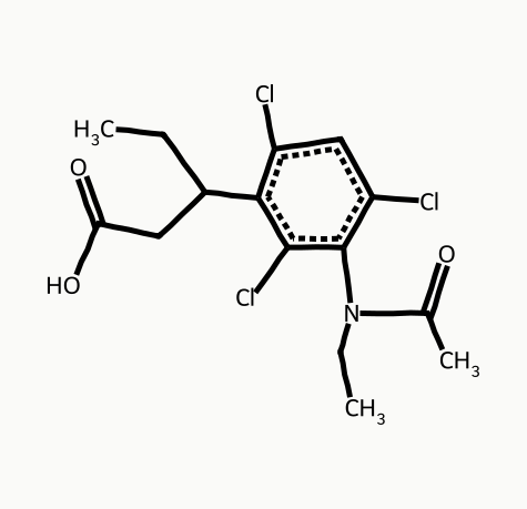 CCC(CC(=O)O)c1c(Cl)cc(Cl)c(N(CC)C(C)=O)c1Cl